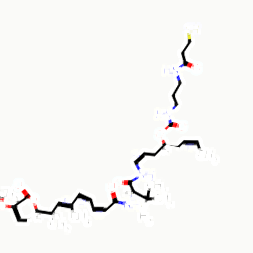 C/C=C\C[C@@H](C/C=C\NC(=O)[C@@H](NC(=O)\C=C/C=C\C(C)=C\[C@H](C)[C@@H]1CC=C(OC)C(=O)O1)C(C)(C)C)OC(=O)NCCCNC(=O)CCS